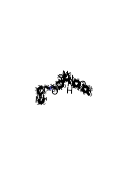 Cc1ccc(Oc2ccc(Nc3ncnc4sc5c(c34)CCN(C(=O)/C=C/CN3CCC[C@H](n4cccn4)C3)C5)cc2C)cn1